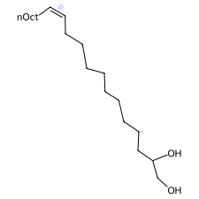 CCCCCCCC/C=C\CCCCCCC[CH]CC(O)CO